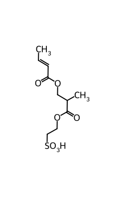 CC=CC(=O)OCC(C)C(=O)OCCS(=O)(=O)O